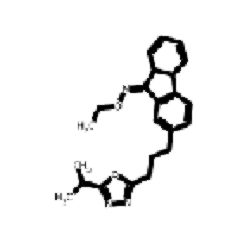 CCO/N=C1\c2cc(CCCc3nnc(C(C)C)o3)ccc2C2C=CC=CC12